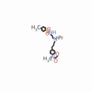 CCCN(CCCCc1ccc2c(c1)OCC(=O)N2C)CCCNS(=O)(=O)c1ccc(C)cc1